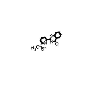 C[S+]([O-])c1cccc(-c2nc(=O)c3ccccc3s2)n1